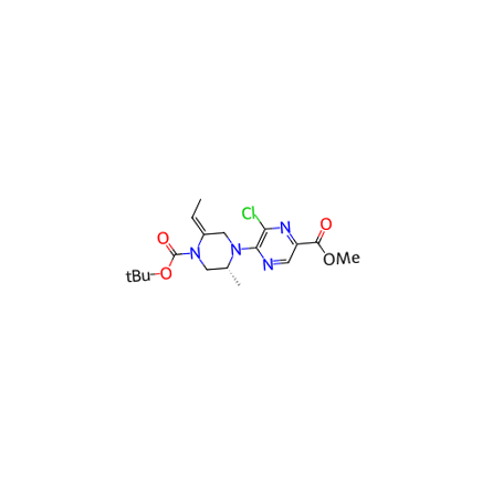 C/C=C1\CN(c2ncc(C(=O)OC)nc2Cl)[C@H](C)CN1C(=O)OC(C)(C)C